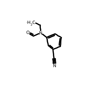 [CH2]CN(C=O)c1cccc(C#N)c1